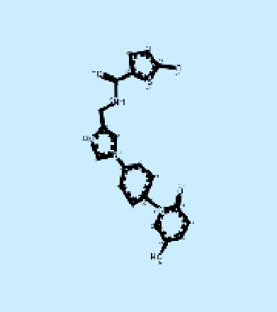 O=C(NCc1cn(-c2ccc(-n3cc(O)ccc3=O)cc2)cn1)c1ccc(Cl)s1